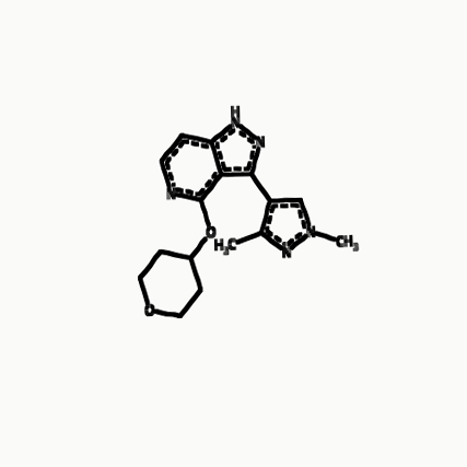 Cc1nn(C)cc1-c1n[nH]c2ccnc(OC3CCOCC3)c12